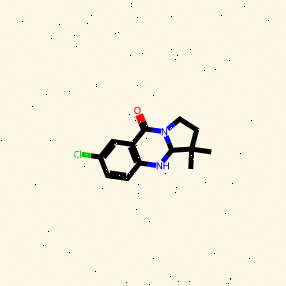 CC1(C)CCN2C(=O)c3cc(Cl)ccc3NC21